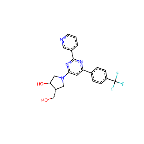 OC[C@H]1CN(c2cc(-c3ccc(C(F)(F)F)cc3)nc(-c3cccnc3)n2)C[C@@H]1O